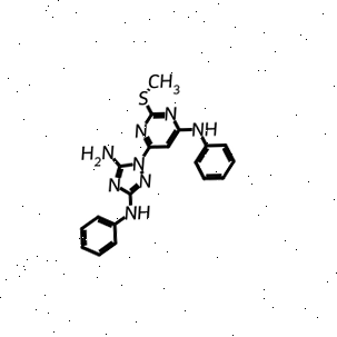 CSc1nc(Nc2ccccc2)cc(-n2nc(Nc3ccccc3)nc2N)n1